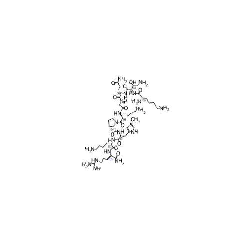 CN1C=C(C[C@H](NC(=O)[C@@H]2CCCN2C(=O)[C@@H](CCCN)NC(=O)CNC(=O)[C@H](CCC(N)=O)NC(=O)[C@@H](NC(=O)[C@@H](N)CCCCN)[C@@H](O)CN)C(=O)N[C@@H](CCCCN)C(=O)N/C(=C\CCNC(=N)N)C(N)=O)NC1